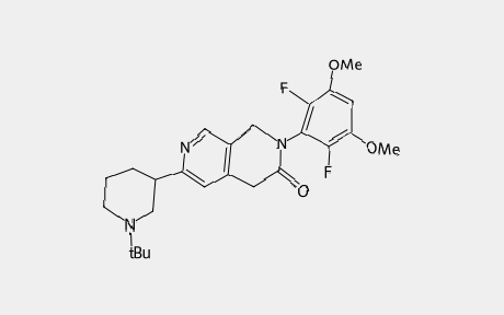 COc1cc(OC)c(F)c(N2Cc3cnc(C4CCCN(C(C)(C)C)C4)cc3CC2=O)c1F